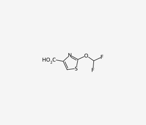 O=C(O)c1csc(OC(F)F)n1